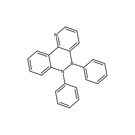 c1ccc(B2c3cccnc3-c3ccccc3N2c2ccccc2)cc1